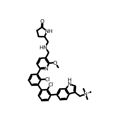 COc1nc(-c2cccc(-c3cccc(-c4ccc5c(C[N+](C)(C)C)c[nH]c5c4)c3Cl)c2Cl)ccc1CNCC1CCC(=O)N1